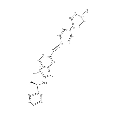 C[C@@H](Nc1nc2cc(C#Cc3ccc(-c4ccc(Cl)cc4)cn3)ccc2n1C)c1ccccc1